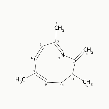 C=C1/N=C(C)/C=C\C(C)=C/CC1C